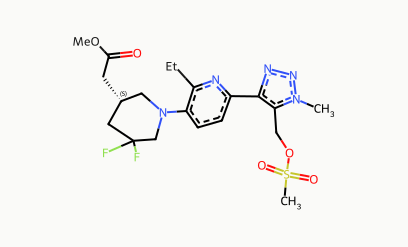 CCc1nc(-c2nnn(C)c2COS(C)(=O)=O)ccc1N1C[C@@H](CC(=O)OC)CC(F)(F)C1